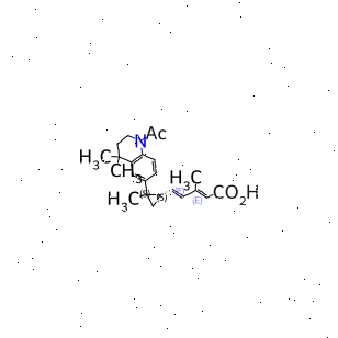 CC(=O)N1CCC(C)(C)c2cc([C@@]3(C)C[C@H]3/C=C/C(C)=C/C(=O)O)ccc21